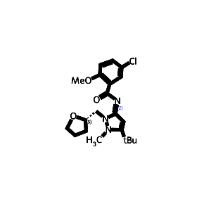 COc1ccc(Cl)cc1C(=O)/N=c1/cc(C(C)(C)C)n(C)n1C[C@@H]1CCCO1